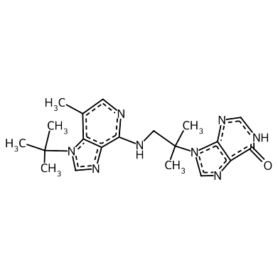 Cc1cnc(NCC(C)(C)n2cnc3c(=O)[nH]cnc32)c2ncn(C(C)(C)C)c12